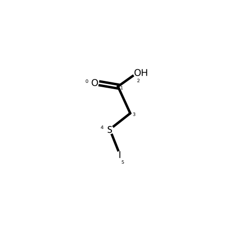 O=C(O)CSI